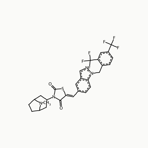 CN1C2CCC1CC(N1C(=O)SC(=Cc3ccc4c(cnn4Cc4ccc(C(F)(F)F)cc4C(F)(F)F)c3)C1=O)C2